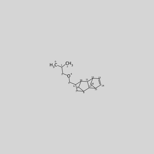 CC(C)COCC1CC2CC1C1C3C=CC(C3)C21